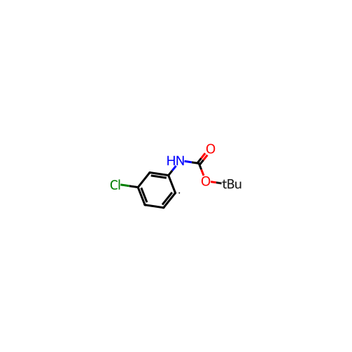 CC(C)(C)OC(=O)Nc1[c]ccc(Cl)c1